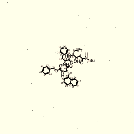 CCC(C)NC(=O)C[C@H](O)[C@H](CC(C)C)NC(=O)C(Cc1ccncc1)NC(=O)[C@H](Cc1cccc2ccccc12)NC(=O)OCc1ccccc1